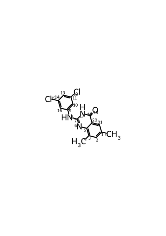 Cc1cc(C)c2nc(Nc3cc(Cl)cc(Cl)c3)[nH]c(=O)c2c1